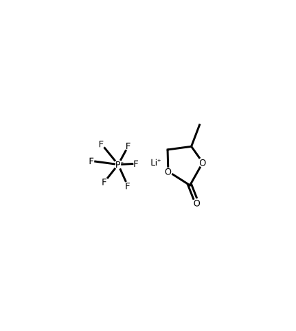 CC1COC(=O)O1.F[P-](F)(F)(F)(F)F.[Li+]